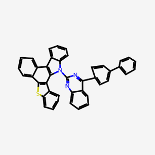 c1ccc(-c2ccc(-c3nc(-n4c5ccccc5c5c6ccccc6c6sc7ccccc7c6c54)nc4ccccc34)cc2)cc1